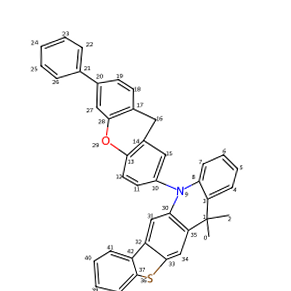 CC1(C)c2ccccc2N(c2ccc3c(c2)Cc2ccc(-c4ccccc4)cc2O3)c2cc3c(cc21)sc1ccccc13